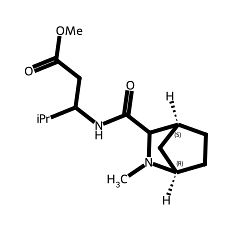 COC(=O)CC(NC(=O)C1[C@H]2CC[C@H](C2)N1C)C(C)C